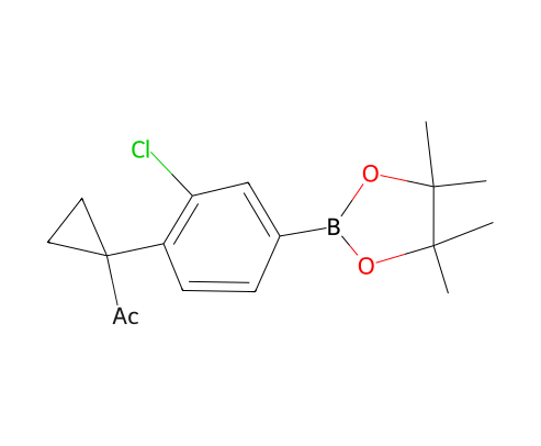 CC(=O)C1(c2ccc(B3OC(C)(C)C(C)(C)O3)cc2Cl)CC1